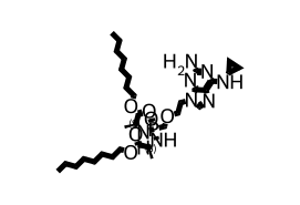 CCCCCCCCOC(=O)[C@H](C)NP(=O)(COCCn1cnc2c(NC3CC3)nc(N)nc21)N[C@@H](C)C(=O)OCCCCCCCC